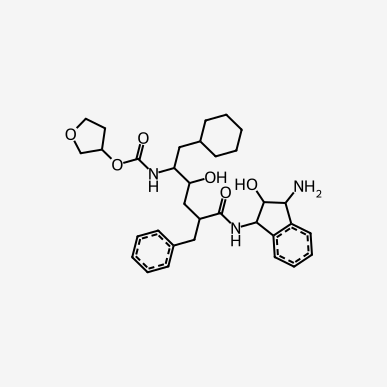 NC1c2ccccc2C(NC(=O)C(Cc2ccccc2)CC(O)C(CC2CCCCC2)NC(=O)OC2CCOC2)C1O